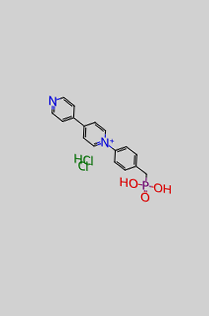 Cl.O=P(O)(O)Cc1ccc(-[n+]2ccc(-c3ccncc3)cc2)cc1.[Cl-]